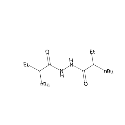 CCCCC(CC)C(=O)NNC(=O)C(CC)CCCC